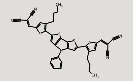 CCCCc1cc(C=C(C#N)C#N)sc1-c1cc2c(s1)c1sc(-c3sc(C=C(C#N)C#N)cc3CCCC)cc1n2-c1ccccc1